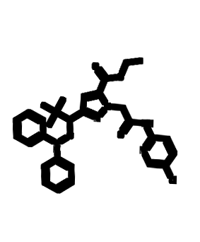 CCOC(=O)c1cc(C(O[SiH](c2ccccc2)c2ccccc2)C(C)(C)C)nn1CC(=O)Nc1ccc(Cl)cn1